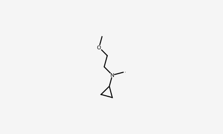 [CH2]N(CCOC)C1CC1